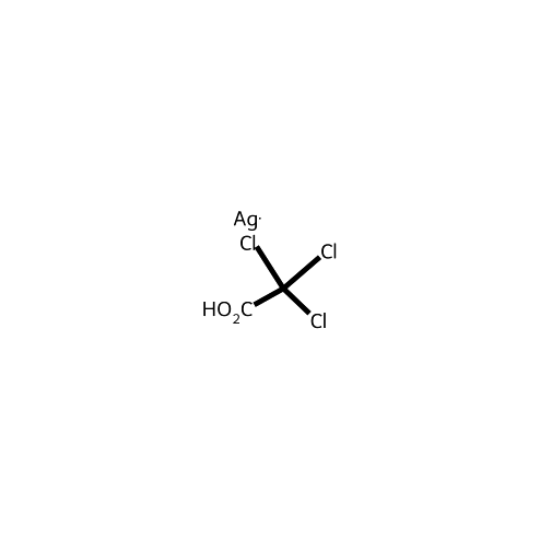 O=C(O)C(Cl)(Cl)Cl.[Ag]